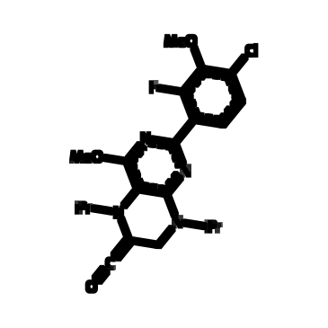 COc1nc(-c2ccc(Cl)c(OC)c2F)nc2c1N(C(C)C)C(=C=O)CN2C(C)C